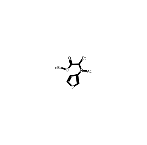 CCCCOC(=O)C(CC)N(C(C)=O)c1ccsc1